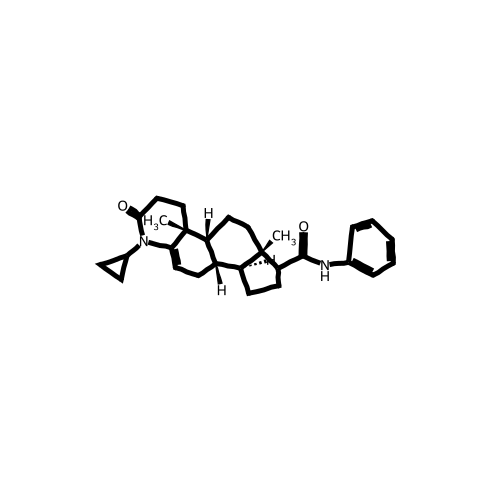 C[C@]12CCC(=O)N(C3CC3)C1=CC[C@@H]1[C@H]2CC[C@]2(C)C(C(=O)Nc3ccccc3)CC[C@@H]12